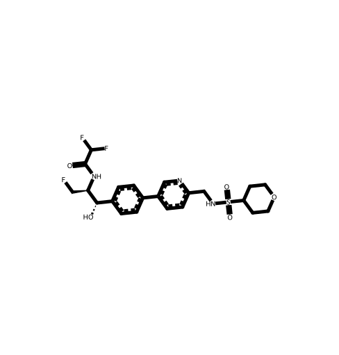 O=C(N[C@H](CF)[C@@H](O)c1ccc(-c2ccc(CNS(=O)(=O)C3CCOCC3)nc2)cc1)C(F)F